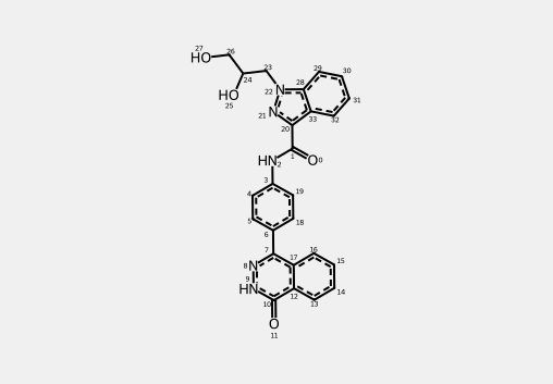 O=C(Nc1ccc(-c2n[nH]c(=O)c3ccccc23)cc1)c1nn(CC(O)CO)c2ccccc12